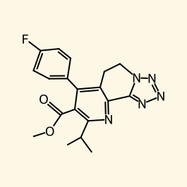 COC(=O)c1c(C(C)C)nc2c(c1-c1ccc(F)cc1)CCn1nnnc1-2